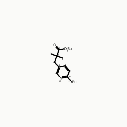 CC(C)COC(=O)C(C)(C)Cc1ccc(C(C)(C)C)nc1